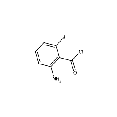 Nc1cccc(I)c1C(=O)Cl